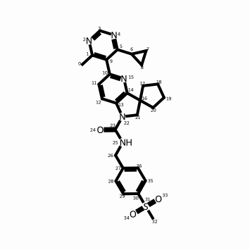 Cc1ncnc(C2CC2)c1-c1ccc2c(n1)C1(CCCC1)CN2C(=O)NCc1ccc(S(C)(=O)=O)cc1